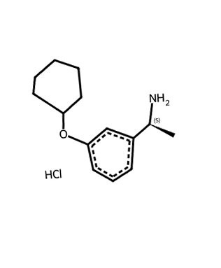 C[C@H](N)c1cccc(OC2CCCCC2)c1.Cl